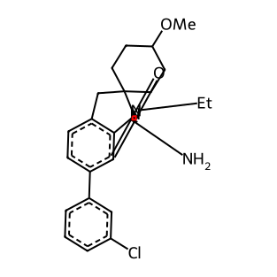 CCN1C(=O)C2(N=C1N)c1cc(-c3cccc(Cl)c3)ccc1CC21CCC(OC)CC1